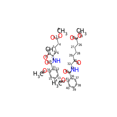 COC(=O)CCCC(NC(=O)c1ccccc1OC)C(C)=O.COC(=O)CCCCC(=O)CNC(=O)c1ccccc1OC